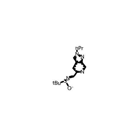 CCCn1cc2cc(C=N[S+]([O-])C(C)(C)C)ncc2n1